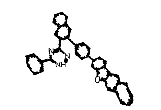 C=N/C(=N\C(=N)c1ccccc1)c1cc2ccccc2cc1-c1ccc(-c2ccc3c(c2)oc2cc4ccccc4cc23)cc1